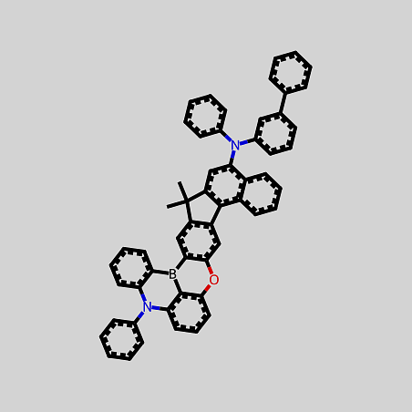 CC1(C)c2cc3c(cc2-c2c1cc(N(c1ccccc1)c1cccc(-c4ccccc4)c1)c1ccccc21)Oc1cccc2c1B3c1ccccc1N2c1ccccc1